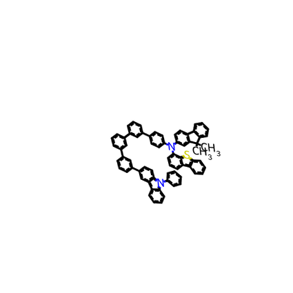 CC1(C)c2ccccc2-c2ccc(N(c3ccc(-c4cccc(-c5cccc(-c6cccc(-c7ccc8c(c7)c7ccccc7n8-c7ccccc7)c6)c5)c4)cc3)c3cccc4c3sc3ccccc34)cc21